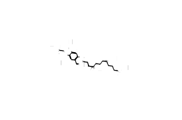 C=Cc1c(C)c(OCC(=O)O)c(C)c(C)c1OCCC[C@H](C)CCC[C@H](C)CCCC(C)C